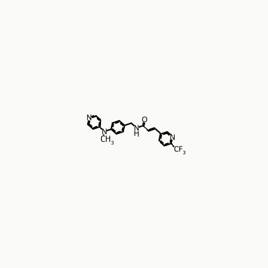 CN(c1ccncc1)c1ccc(CNC(=O)C=Cc2ccc(C(F)(F)F)nc2)cc1